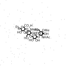 CCO[C@@H]1OC(C(=O)O)[C@@H](O[C@H]2OC(CO)[C@@H](O[C@@H]3OC(C(=O)O)[C@@H](O[C@H]4OC(CO)[C@@H](OC)[C@H](O)C4NC(C)=O)C(O)[C@@H]3O)[C@H](O)C2NC(C)=O)C(O)[C@@H]1O